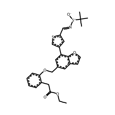 CCOC(=O)Cc1ccccc1OCc1cc(-c2csc(C=N[S+]([O-])C(C)(C)C)c2)c2occc2c1